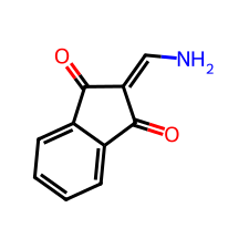 NC=C1C(=O)c2ccccc2C1=O